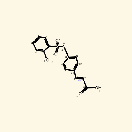 Cc1ccccc1S(=O)(=O)Nc1ccc(/C=C/C(=O)O)cc1